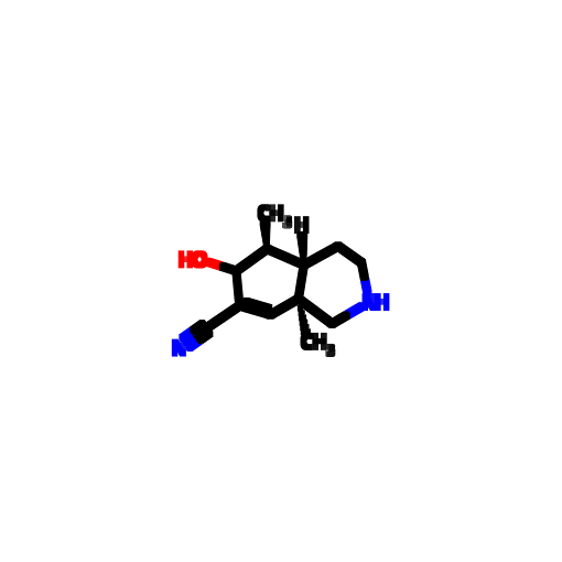 C[C@@H]1C(O)C(C#N)=C[C@]2(C)CNCC[C@@H]12